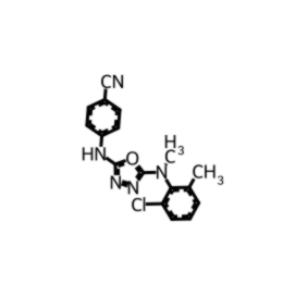 Cc1cccc(Cl)c1N(C)c1nnc(Nc2ccc(C#N)cc2)o1